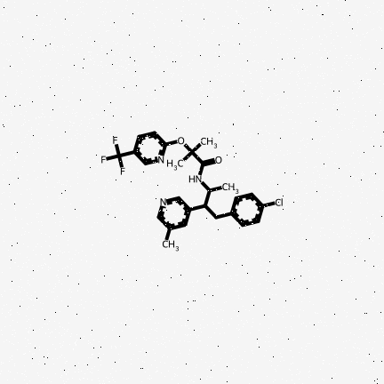 Cc1cncc(C(Cc2ccc(Cl)cc2)C(C)NC(=O)C(C)(C)Oc2ccc(C(F)(F)F)cn2)c1